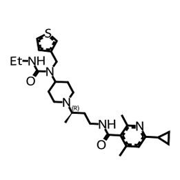 CCNC(=O)N(Cc1ccsc1)C1CCN([C@H](C)CCNC(=O)c2c(C)cc(C3CC3)nc2C)CC1